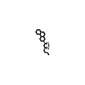 C=C/C=C\c1cc(-c2ccc3c(ccc4ccccc43)c2)ncn1